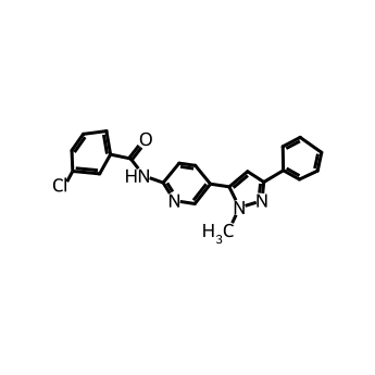 Cn1nc(-c2ccccc2)cc1-c1ccc(NC(=O)c2cccc(Cl)c2)nc1